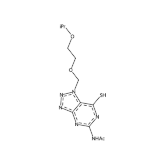 CC(=O)Nc1nc(S)c2c(nnn2COCCOC(C)C)n1